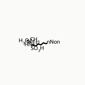 CCCCCCCCCCCCCCC(CC)(NN(C)C)S(=O)(=O)O